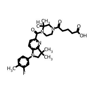 Cc1ccc(N2CC(C)(C)c3nc(C(=O)N4CCN(C(=O)CCCC(=O)O)CC4(C)C)ccc32)cc1F